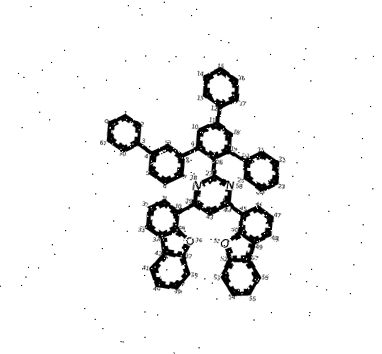 c1ccc(-c2cccc(-c3cc(-c4ccccc4)cc(-c4ccccc4)c3-c3nc(-c4cccc5c4oc4ccccc45)cc(-c4cccc5c4oc4ccccc45)n3)c2)cc1